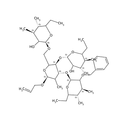 C=CCO[C@H]1OC(CO[C@@H]2OC(CC)[C@@H](C)[C@H](C)C2O)[C@@H](O[C@@H]2OC(CC)[C@@H](C)[C@H](C)C2O)[C@H](O[C@@H]2OC(CC)[C@@H](C)[C@H](C)C2OCc2ccccc2)C1C